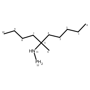 CCCCCC(C)(CCCC)NP